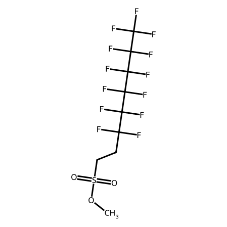 COS(=O)(=O)CCC(F)(F)C(F)(F)C(F)(F)C(F)(F)C(F)(F)C(F)(F)F